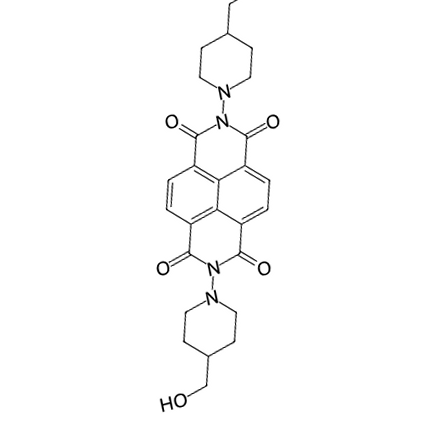 O=C1c2ccc3c4c(ccc(c24)C(=O)N1N1CCC(CO)CC1)C(=O)N(N1CCC(CO)CC1)C3=O